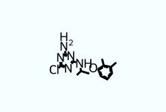 Cc1cccc(OCC(C)Nc2nc(N)nc(Cl)n2)c1C